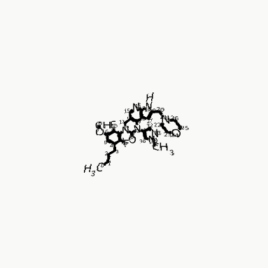 CCCCc1cc(OC)c(F)c(N2Cc3cnc4[nH]c(CN5CCOCC5)cc4c3N(c3cnn(C)c3)C2=O)c1F